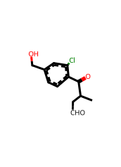 CC(CC=O)C(=O)c1ccc(CO)cc1Cl